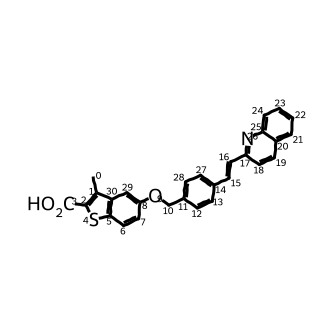 Cc1c(C(=O)O)sc2ccc(OCc3ccc(/C=C/c4ccc5ccccc5n4)cc3)cc12